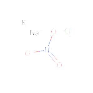 O=[N+]([O-])[O-].[Cl-].[K+].[Na+]